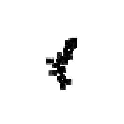 CC(=NNC(=S)Nc1ccc(S(=O)(=O)O)cc1)c1csc(-c2ccc(Cl)c(Cl)c2)c1O.[KH]